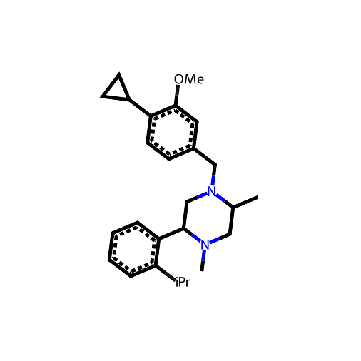 COc1cc(CN2CC(c3ccccc3C(C)C)N(C)CC2C)ccc1C1CC1